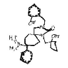 CN(C)C1(c2ccccc2)CCC2(CC1)CN(Cc1ccccc1C#N)C(=O)N2CC1(O)CCC1